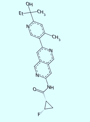 CCC(C)(O)c1cc(C)c(-c2cc3cnc(NC(=O)[C@@H]4C[C@@H]4F)cc3cn2)cn1